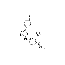 COc1ccc(Nc2ncc(-c3ccc(F)cc3)o2)cc1OC